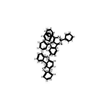 c1ccc(-c2nc(-c3ccccc3)c3c(n2)-c2ccc(-n4c5ccccc5c5c6sc7ccccc7c6ccc54)cc2[Si]3(c2ccccc2)c2ccccc2)cc1